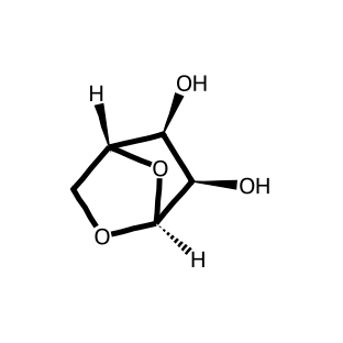 O[C@H]1[C@H]2OC[C@@H](O2)[C@H]1O